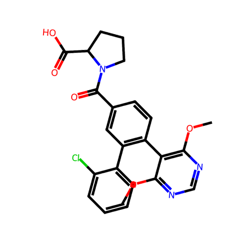 COc1ncnc(OC)c1-c1ccc(C(=O)N2CCCC2C(=O)O)cc1-c1ccccc1Cl